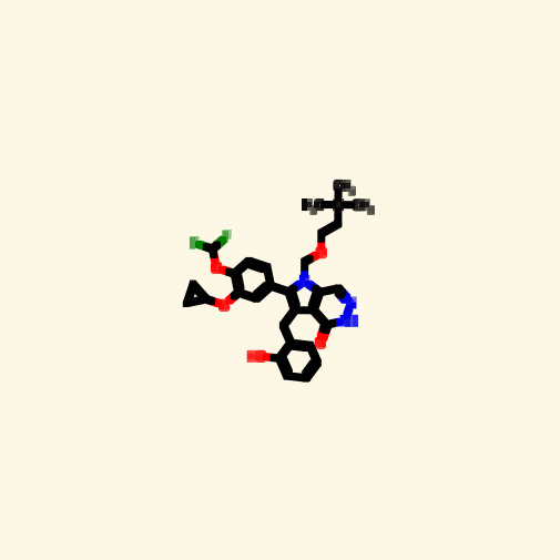 C[Si](C)(C)CCOCn1c(-c2ccc(OC(F)F)c(OC3CC3)c2)c(Cc2ccccc2O)c2c(=O)[nH]ncc21